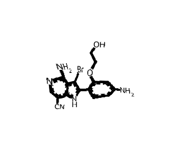 N#Cc1cnc(N)c2c(Br)c(-c3ccc(N)cc3OCCO)[nH]c12